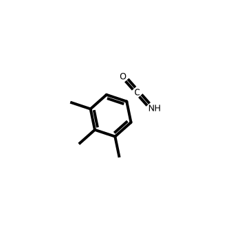 Cc1cccc(C)c1C.N=C=O